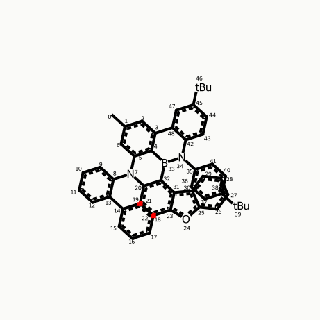 Cc1cc2c3c(c1)N(c1ccccc1-c1ccccc1)c1ccc4oc5ccccc5c4c1B3N(c1ccc(C(C)(C)C)cc1)c1ccc(C(C)(C)C)cc1-2